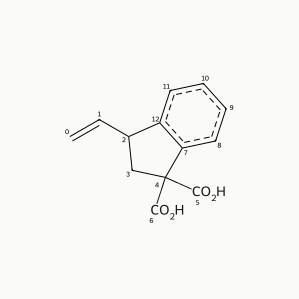 C=CC1CC(C(=O)O)(C(=O)O)c2ccccc21